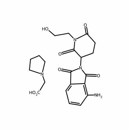 Nc1cccc2c1C(=O)N(C1CCC(=O)N(CCO)C1=O)C2=O.O=C(O)CN1CCCC1